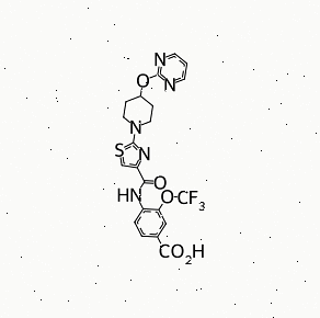 O=C(O)c1ccc(NC(=O)c2csc(N3CCC(Oc4ncccn4)CC3)n2)c(OC(F)(F)F)c1